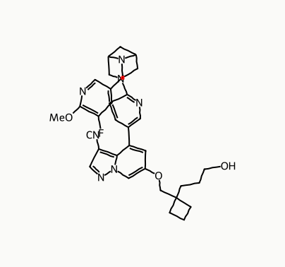 COc1ncc(CN2C3CC2CN(c2ccc(-c4cc(OCC5(CCCO)CCC5)cn5ncc(C#N)c45)cn2)C3)cc1F